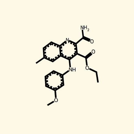 CCOC(=O)c1c(C(N)=O)nc2ccc(C)cc2c1Nc1cccc(OC)c1